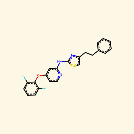 Fc1cccc(F)c1Oc1ccnc(Nc2nc(CCc3ccccc3)cs2)c1